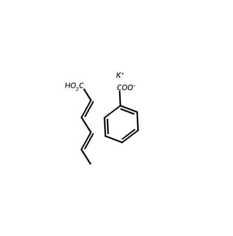 CC=CC=CC(=O)O.O=C([O-])c1ccccc1.[K+]